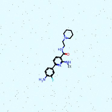 CCNc1nc(-c2ccc(N)c(F)c2)ccc1C(=O)NCCN1CCCCC1